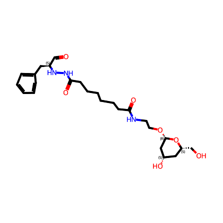 O=C[C@H](Cc1ccccc1)NNC(=O)CCCCCCC(=O)NCCO[C@H]1C[C@@H](O)C[C@@H](CO)O1